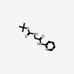 CC(C)(C)OC(=O)NCC(=O)Nc1ccccn1